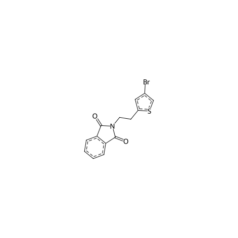 O=C1c2ccccc2C(=O)N1CCc1cc(Br)cs1